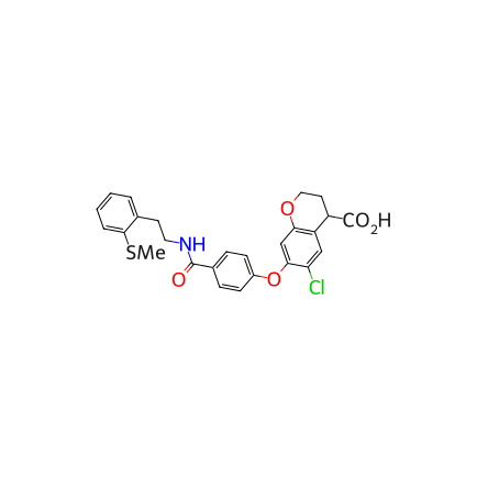 CSc1ccccc1CCNC(=O)c1ccc(Oc2cc3c(cc2Cl)C(C(=O)O)CCO3)cc1